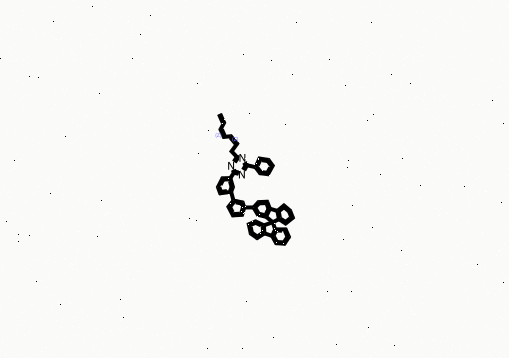 C=C/C=C\C=C/Cc1nc(-c2ccccc2)nc(-c2cccc(-c3cccc(-c4ccc5c(c4)C4(c6ccccc6-c6ccccc64)c4ccccc4-5)c3)c2)n1